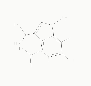 Cc1nc(C(C)C)c2c(C(C)C)cn(C)c2c1C